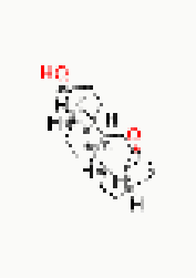 C[C@]12CC[C@@H](O)C[C@@H]1CC[C@H]1[C@@H]3CC[C@@H]4CC=CC(=O)C43CC[C@@H]12